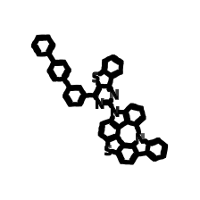 c1ccc(-c2ccc(-c3cccc(-c4nc(-n5c6ccc7sc8ccc9c%10ccccc%10n%10c%11cccc5c%11c6c7c8c9%10)nc5c4sc4ccccc45)c3)cc2)cc1